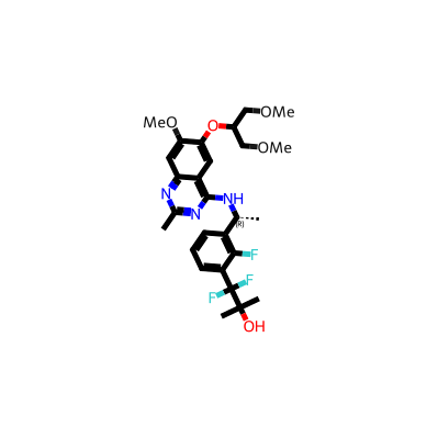 COCC(COC)Oc1cc2c(N[C@H](C)c3cccc(C(F)(F)C(C)(C)O)c3F)nc(C)nc2cc1OC